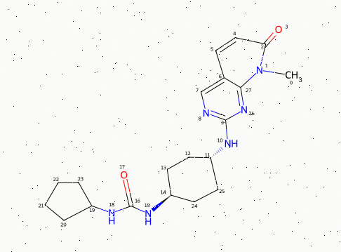 Cn1c(=O)ccc2cnc(N[C@H]3CC[C@H](NC(=O)NC4CCCC4)CC3)nc21